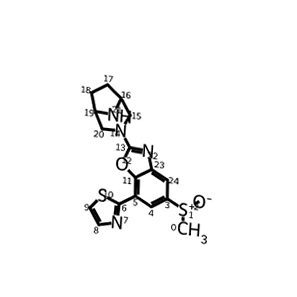 C[S+]([O-])c1cc(-c2nccs2)c2oc(N3CC4CCC(C3)N4)nc2c1